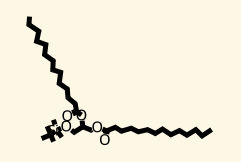 CCCCCCCCCCCCCC(=O)OCC(CO[Si](C)(C)C(C)(C)C)OC(=O)CCCCCCCCCCCCC